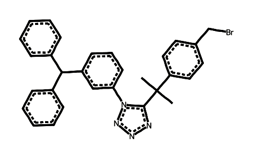 CC(C)(c1ccc(CBr)cc1)c1nnnn1-c1cccc(C(c2ccccc2)c2ccccc2)c1